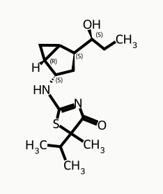 CC[C@H](O)[C@H]1C[C@H](NC2=NC(=O)C(C)(C(C)C)S2)[C@@H]2CC21